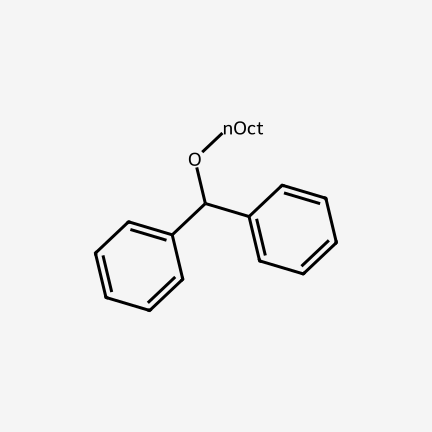 CCCCCCCCOC(c1ccccc1)c1ccccc1